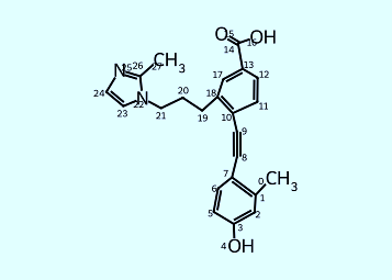 Cc1cc(O)ccc1C#Cc1ccc(C(=O)O)cc1CCCn1ccnc1C